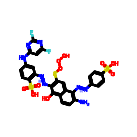 Nc1ccc2c(O)c(/N=N/c3cc(Nc4cc(F)nc(F)n4)ccc3S(=O)(=O)O)c(SOOO)cc2c1/N=N/c1ccc(S(=O)(=O)O)cc1